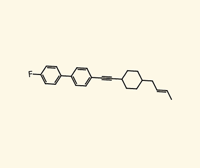 C/C=C/CC1CCC(C#Cc2ccc(-c3ccc(F)cc3)cc2)CC1